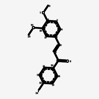 COc1ccc(C=CC(=O)c2ccc(I)cc2)cc1OC